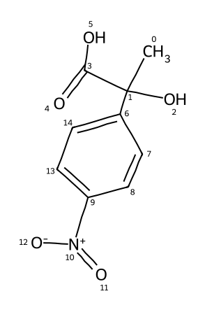 CC(O)(C(=O)O)c1ccc([N+](=O)[O-])cc1